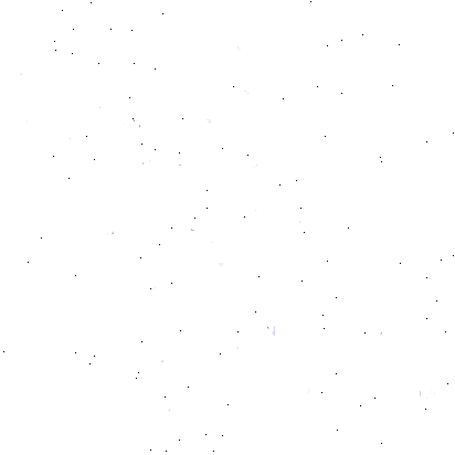 CC(C)(C)c1ccc(N(c2ccccc2)c2ccc3ccc4c(N(c5ccccc5)c5ccccc5)ccc5ccc2c3c54)cc1